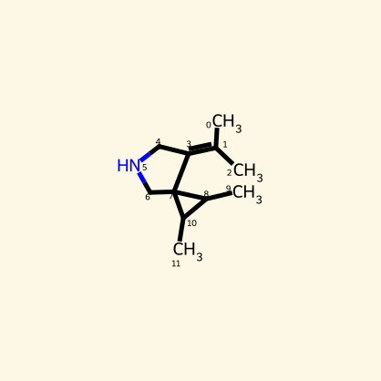 CC(C)=C1CNCC12C(C)C2C